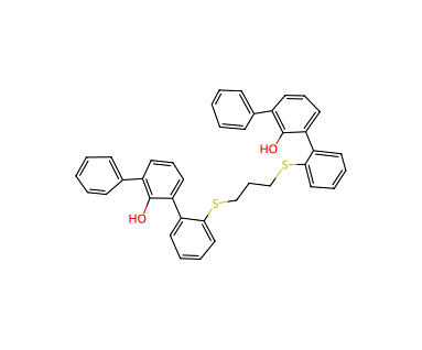 Oc1c(-c2ccccc2)cccc1-c1ccccc1SCCCSc1ccccc1-c1cccc(-c2ccccc2)c1O